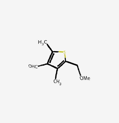 COCc1sc(C)c(C=O)c1C